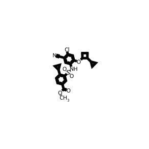 COC(=O)c1ccc(C2CC2)c(S(=O)(=O)Nc2cc(C#N)c(Cl)cc2OC2CCC2C2CC2)c1